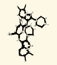 Cc1ccc2c(/N=C3\N/C(=N/c4c(N5CCOCC5)nn5c(C)c(C)ccc45)C(N)=CC3=N)c(N3CCOCC3)nn2c1C